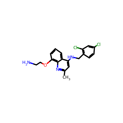 Cc1cc(NCc2ccc(Cl)cc2Cl)c2cccc(OCCN)c2n1